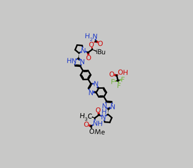 CCC(C)[C@H](OC(N)=O)C(=O)N1CCC[C@H]1c1nc(-c2ccc(-c3cnc4cc(-c5cnc([C@@H]6CCCN6C(=O)[C@H](C)NC(=O)OC)[nH]5)ccc4n3)cc2)c[nH]1.O=C(O)C(F)(F)F